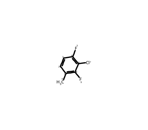 Cc1[c]cc(F)c(Cl)c1F